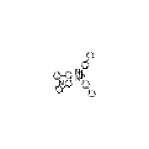 c1ccc(-c2ccc(-c3nc(-c4ccc(-c5ccccc5)cc4)nc(-c4ccc(-c5ccccc5-n5c6ccccc6c6ccccc65)cc4)n3)cc2)cc1